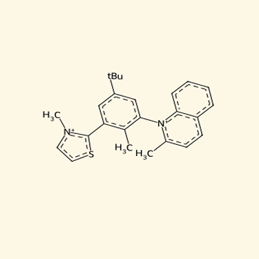 Cc1c(-c2scc[n+]2C)cc(C(C)(C)C)cc1-[n+]1c(C)ccc2ccccc21